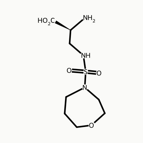 N[C@@H](CNS(=O)(=O)N1CCCOCC1)C(=O)O